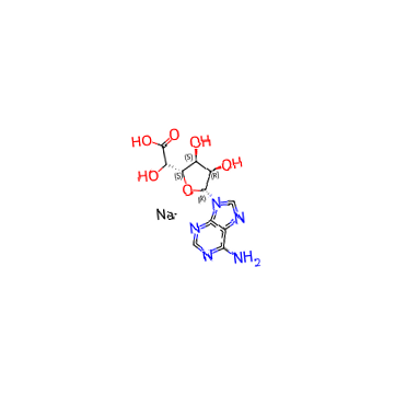 Nc1ncnc2c1ncn2[C@@H]1O[C@H](C(O)C(=O)O)[C@@H](O)[C@H]1O.[Na]